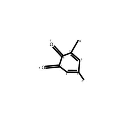 CC1=CC(=O)C(=O)C(C)=C1